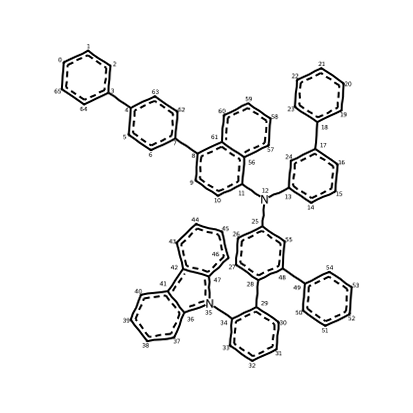 c1ccc(-c2ccc(-c3ccc(N(c4cccc(-c5ccccc5)c4)c4ccc(-c5ccccc5-n5c6ccccc6c6ccccc65)c(-c5ccccc5)c4)c4ccccc34)cc2)cc1